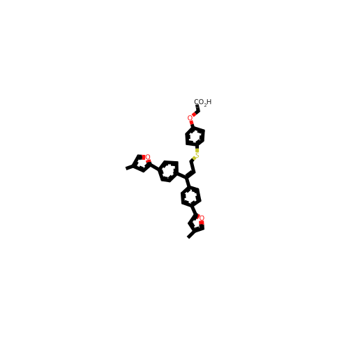 Cc1coc(-c2ccc(C(=CCSc3ccc(OCC(=O)O)cc3)c3ccc(-c4cc(C)co4)cc3)cc2)c1